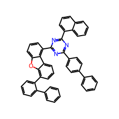 c1ccc(-c2ccc(-c3nc(-c4cccc5ccccc45)nc(-c4cccc5oc6c(-c7ccccc7-c7ccccc7)cccc6c45)n3)cc2)cc1